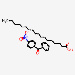 CCCCCCCCCCCCCCCCCC(=O)O.O=C(c1ccccc1)c1ccc([N+](=O)[O-])cc1